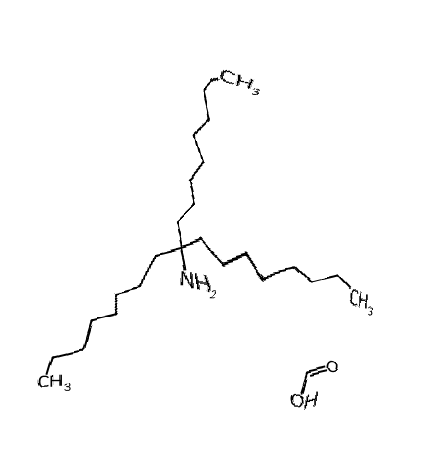 CCCCCCCCC(N)(CCCCCCCC)CCCCCCCC.O=CO